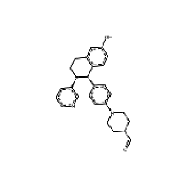 O=CC1CCN(c2ccc([C@@H]3c4ccc(O)cc4CC[C@@H]3c3cccnc3)cc2)CC1